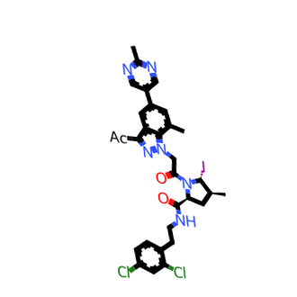 CC(=O)c1nn(CC(=O)N2[C@H](I)[C@@H](C)C[C@H]2C(=O)NCCc2ccc(Cl)cc2Cl)c2c(C)cc(-c3cnc(C)nc3)cc12